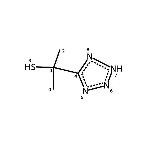 CC(C)(S)c1nn[nH]n1